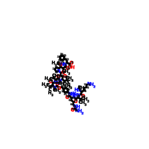 CCC(C)C(C(CC(=O)N1CCCC1C(OC)C(C)C(=O)NC(Cc1ccccc1)C(=O)O)OC)N(C)C(=O)[C@@H](NC(=O)C(C(C)C)N(C)C(=O)OCc1ccc(NC(=O)C(CCCNC(N)=O)NC(=O)C(NC(=O)C(CCCCN)NC)C(C)C)cc1)C(C)C